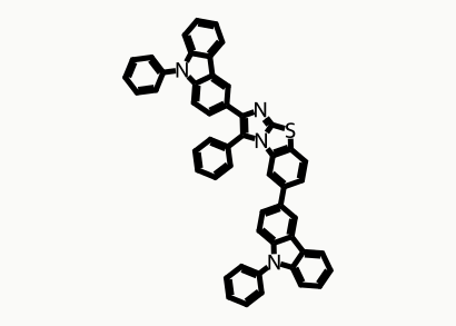 c1ccc(-c2c(-c3ccc4c(c3)c3ccccc3n4-c3ccccc3)nc3sc4ccc(-c5ccc6c(c5)c5ccccc5n6-c5ccccc5)cc4n23)cc1